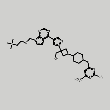 C[Si](C)(C)CCOCn1ccc2c(-c3cnn(C4(CC#N)CN(C5CCC(Oc6cc(C(=O)O)nc(C(F)(F)F)n6)CC5)C4)c3)ncnc21